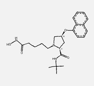 CC(C)(C)NC(=O)[C@@H]1C[C@H](Oc2cccc3ccccc23)CN1CCCCC(=O)NO